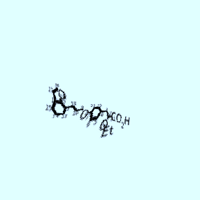 CCOC(Cc1ccc(OCC=Cc2cccc3ccoc23)cc1)C(=O)O